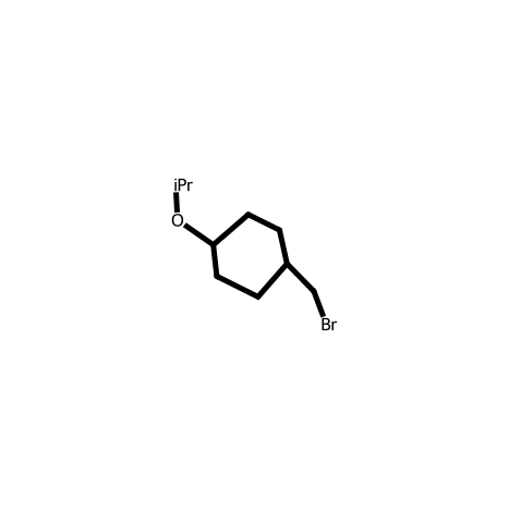 CC(C)OC1CCC(CBr)CC1